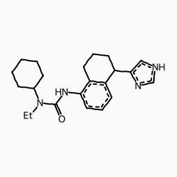 CCN(C(=O)Nc1cccc2c1CCCC2c1c[nH]cn1)C1CCCCC1